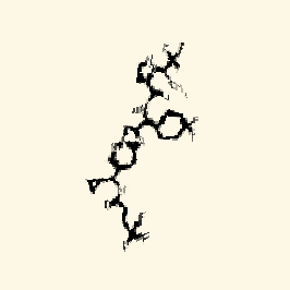 C[C@@H](n1nccc1C(=O)N[C@H](c1cn2ncc(C(NC(=O)CCC(F)(F)F)C3CC3)cc2n1)C1CCC(F)(F)CC1)C(F)(F)F